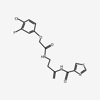 C=C(CCNC(=O)COc1ccc(Cl)c(F)c1)NC(=O)c1cscn1